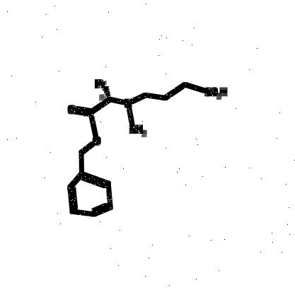 CC(C)[C@@H](C(=O)OCc1ccccc1)N(N)CCCS(=O)(=O)O